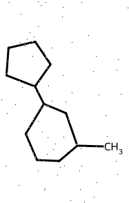 CC1CCCC(C2CCCC2)C1